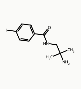 CC(C)(N)CNC(=O)c1ccc(I)cc1